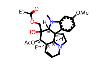 CCC(=O)OCC1(O)[C@H](OC(C)=O)[C@]2(CC)C=CCN3CC[C@@]4(c5ccc(OC)cc5N(C)[C@@H]14)[C@@H]32